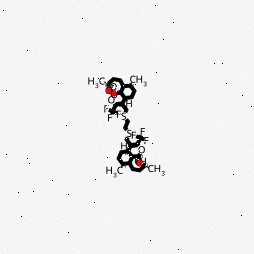 C[C@@H]1CC[C@H]2C(CSCCSCC3=C(C(F)(F)F)O[C@@H]4O[C@]5(C)CCC6[C@H](C)CC[C@@H]3[C@]64OO5)=C(C(F)(F)F)O[C@@H]3O[C@]4(C)CCC1[C@]32OO4